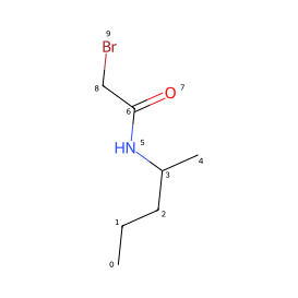 CCCC(C)NC(=O)CBr